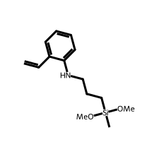 C=Cc1ccccc1NCCC[Si](C)(OC)OC